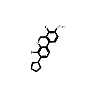 CCCCCc1ccc2c(c1F)COc1c-2ccc(C2CCCC2)c1F